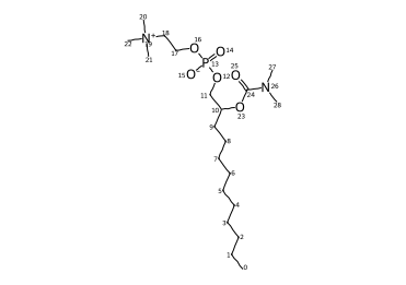 CCCCCCCCCCC(COP(=O)([O-])OCC[N+](C)(C)C)OC(=O)N(C)C